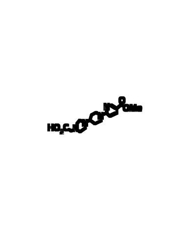 COC(=O)c1ccc(N2CCC(N3CCN(CC(=O)O)CC3)CC2)nc1